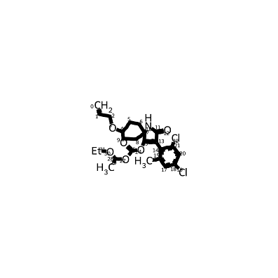 C=CCOC1CCC2(CC1)NC(=O)C(c1c(C)cc(Cl)cc1Cl)=C2OC(=O)OC(C)OCC